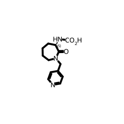 O=C(O)N[C@H]1CCCCN(Cc2ccncc2)C1=O